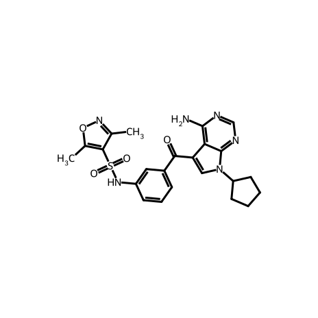 Cc1noc(C)c1S(=O)(=O)Nc1cccc(C(=O)c2cn(C3CCCC3)c3ncnc(N)c23)c1